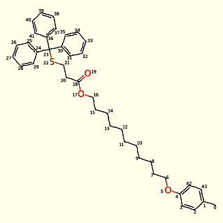 Cc1ccc(OCCCCCCCCCCCOC(=O)CCSC(c2ccccc2)(c2ccccc2)c2ccccc2)cc1